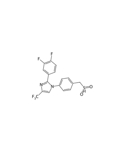 O=[SH](=O)Cc1ccc(-n2cc(C(F)(F)F)nc2-c2ccc(F)c(F)c2)cc1